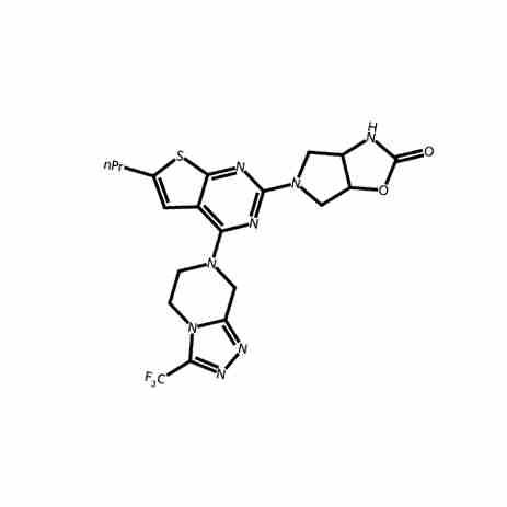 CCCc1cc2c(N3CCn4c(nnc4C(F)(F)F)C3)nc(N3CC4NC(=O)OC4C3)nc2s1